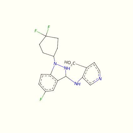 O=C(O)c1ccncc1NC1NN(C2CCC(F)(F)CC2)c2ccc(F)cc21